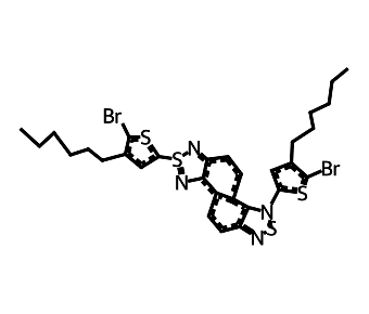 CCCCCCc1cc(N2SN=c3ccc4c5c(ccc4c32)=NS(c2cc(CCCCCC)c(Br)s2)=N5)sc1Br